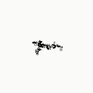 C=CC(=O)Nc1cc(N2C[C@H](CS(C)(=O)=O)[C@H]2C)c2cnc(Nc3ccnc(N4CC[C@@H](OCCNC)[C@@H](F)C4)n3)cc2c1C(C)C